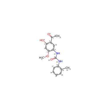 COc1cc(O)c(C(C)=O)cc1NC(=O)Nc1ccccc1C